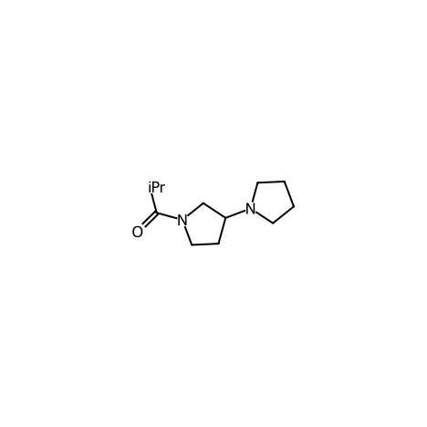 CC(C)C(=O)N1CCC(N2CCCC2)C1